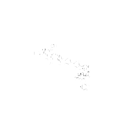 COC(=O)NC(C(=O)N1CCCC1c1ncc(-c2ccc(-c3ccc(-c4cnc([C@@H]5CCCN5C(=O)[C@H](Cc5cccnc5)OC(N)=O)[nH]4)cc3)cc2)[nH]1)[C@@H](C)OC